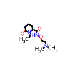 CCN1C(=O)CCC[C@H]1C(=O)NOCCN(C)C